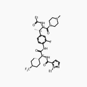 CCC(=O)N[C@@H](C(=O)N1CCN(C)CC1)[C@@H](C)c1ccc(NC(=O)[C@@H](NC(=O)c2ccnn2CC)[C@H]2CC[C@H](C(F)(F)F)CC2)c(F)c1